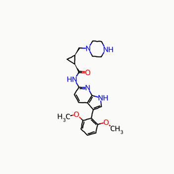 COc1cccc(OC)c1-c1c[nH]c2nc(NC(=O)[C@H]3C[C@H]3CN3CCNCC3)ccc12